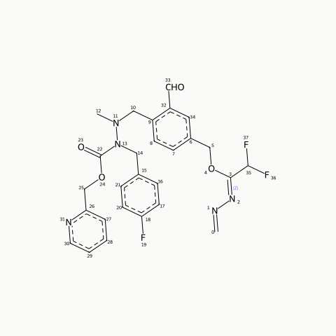 C=N/N=C(\OCc1ccc(CN(C)N(Cc2ccc(F)cc2)C(=O)OCc2ccccn2)c(C=O)c1)C(F)F